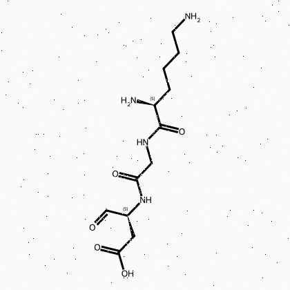 NCCCC[C@H](N)C(=O)NCC(=O)N[C@H]([C]=O)CC(=O)O